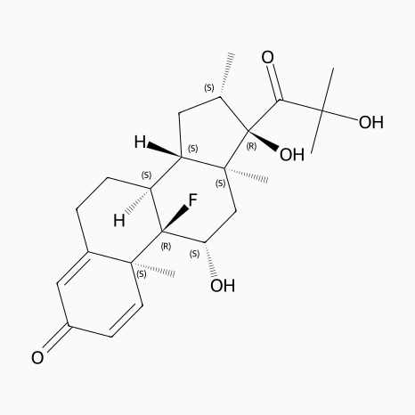 C[C@H]1C[C@H]2[C@@H]3CCC4=CC(=O)C=C[C@]4(C)[C@@]3(F)[C@@H](O)C[C@]2(C)[C@@]1(O)C(=O)C(C)(C)O